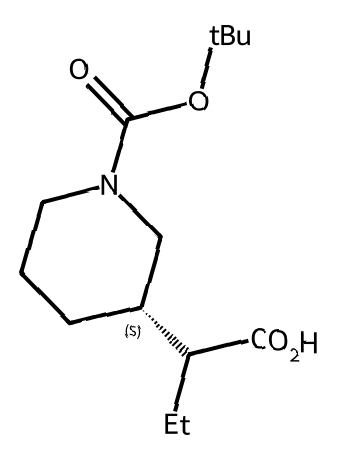 CCC(C(=O)O)[C@@H]1CCCN(C(=O)OC(C)(C)C)C1